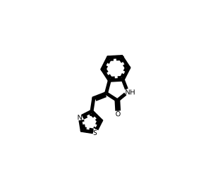 O=C1Nc2c[c]ccc2C1=Cc1cscn1